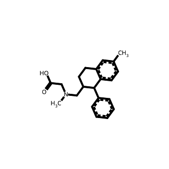 Cc1ccc2c(c1)CCC(CN(C)CC(=O)O)C2c1ccccc1